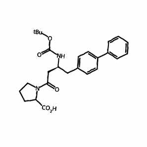 CC(C)(C)OC(=O)N[C@H](CC(=O)N1CCCC1C(=O)O)Cc1ccc(-c2ccccc2)cc1